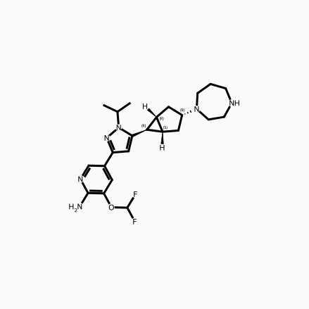 CC(C)n1nc(-c2cnc(N)c(OC(F)F)c2)cc1[C@H]1[C@@H]2C[C@H](N3CCCNCC3)C[C@@H]21